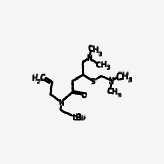 C=CCN(CC(C)(C)C)C(=O)CC(CN(C)C)SCN(C)C